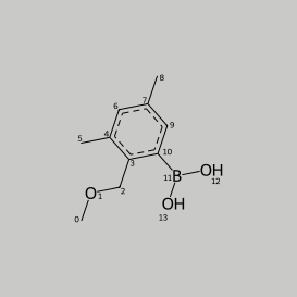 COCc1c(C)cc(C)cc1B(O)O